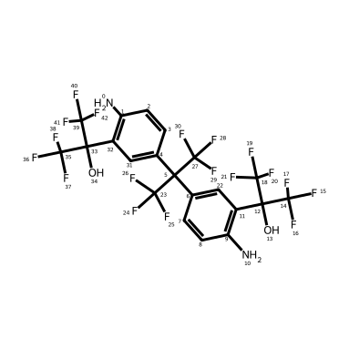 Nc1ccc(C(c2ccc(N)c(C(O)(C(F)(F)F)C(F)(F)F)c2)(C(F)(F)F)C(F)(F)F)cc1C(O)(C(F)(F)F)C(F)(F)F